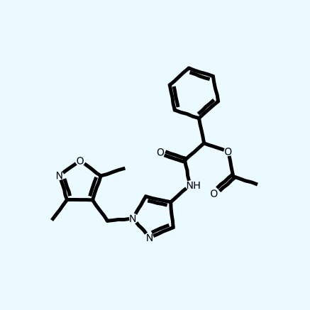 CC(=O)OC(C(=O)Nc1cnn(Cc2c(C)noc2C)c1)c1ccccc1